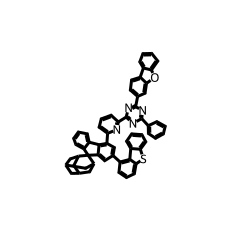 c1ccc(-c2nc(-c3ccc4c(c3)oc3ccccc34)nc(-c3cccc(-c4cc(-c5cccc6sc7ccccc7c56)cc5c4-c4ccccc4C54C5CC6CC(C5)CC4C6)n3)n2)cc1